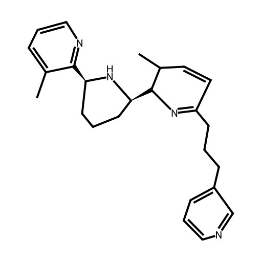 Cc1cccnc1[C@@H]1CCC[C@H](C2N=C(CCCc3cccnc3)C=CC2C)N1